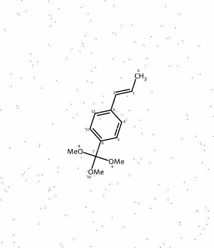 CC=Cc1ccc(C(OC)(OC)OC)cc1